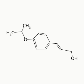 CC(C)Oc1ccc(C=CCO)cc1